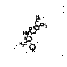 CCc1sc(C=C2C(=O)Nc3nc(C)c(-c4ccncc4)cc32)cc1C